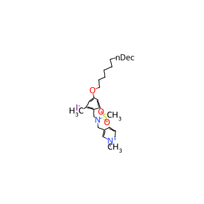 CCCCCCCCCCCCCCCCOc1ccc(CN(Cc2ccc[n+](C)c2)S(C)(=O)=O)c(C)c1.[I-]